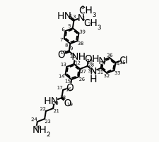 CN(C)C(=N)c1ccc(C(=O)Nc2ccc(OCC(=O)NCCCCN)cc2C(O)Nc2ccc(Cl)cn2)cc1